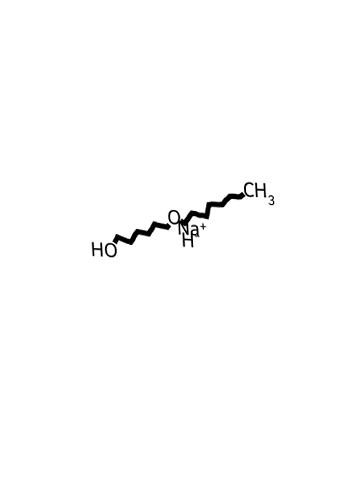 CCCCCCCCOCCCCCCO.[H-].[Na+]